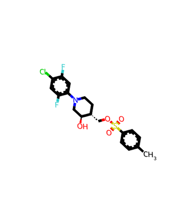 Cc1ccc(S(=O)(=O)OC[C@H]2CCN(c3cc(F)c(Cl)cc3F)C[C@@H]2O)cc1